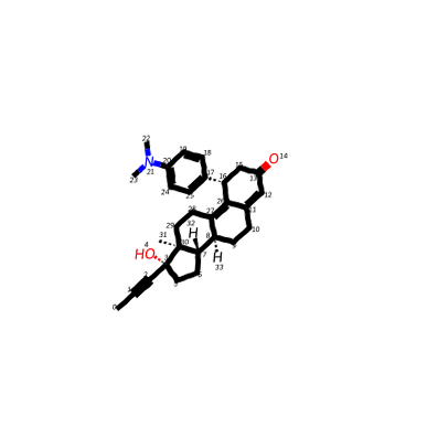 CC#C[C@]1(O)CC[C@H]2[C@@H]3CCC4=CC(=O)C[C@@H](c5ccc(N(C)C)cc5)C4=C3CC[C@@]21C